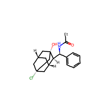 CCC(=O)N[C@@H](c1ccccc1)[C@H]1[C@H]2C[C@@H]3C[C@](Cl)(C2)C[C@@]1(O)C3